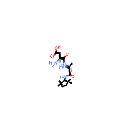 C[C@H](NC(=O)[C@@H](N)CC(=O)O)C(=O)NC1C(C)(C)CCC1(C)C